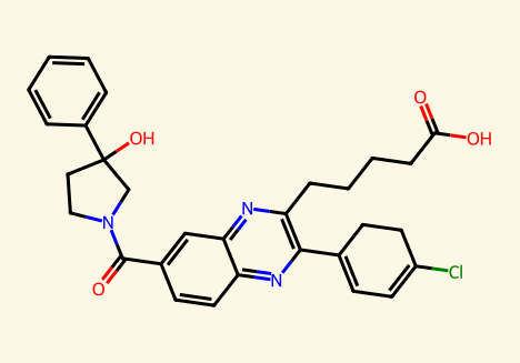 O=C(O)CCCCc1nc2cc(C(=O)N3CCC(O)(c4ccccc4)C3)ccc2nc1C1=CC=C(Cl)CC1